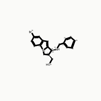 OC[C@H]1Cn2c(cc3cc(Br)ccc32)[C@H]1NCc1ccccc1